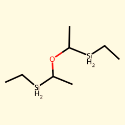 CC[SiH2]C(C)OC(C)[SiH2]CC